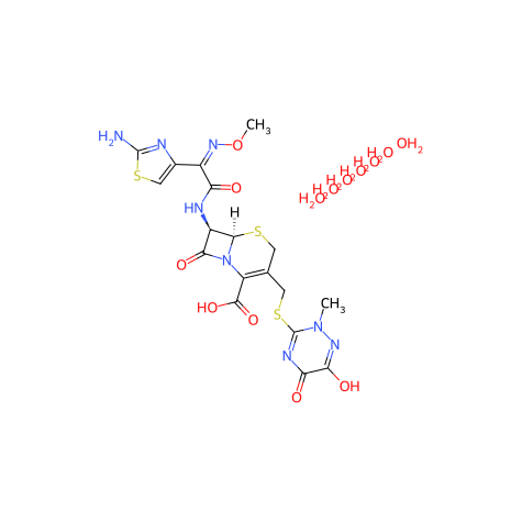 CO/N=C(\C(=O)N[C@@H]1C(=O)N2C(C(=O)O)=C(CSc3nc(=O)c(O)nn3C)CS[C@H]12)c1csc(N)n1.O.O.O.O.O.O.O